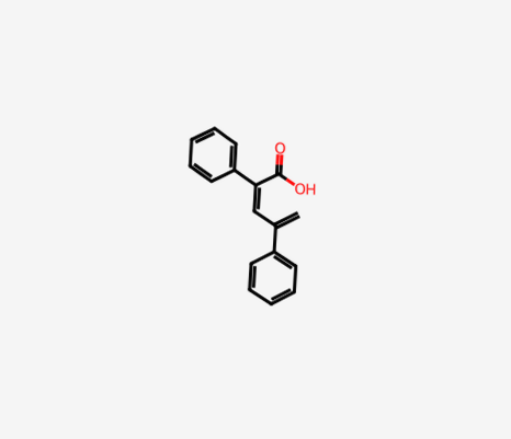 C=C(C=C(C(=O)O)c1ccccc1)c1ccccc1